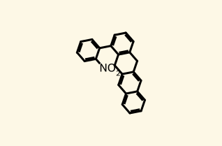 O=[N+]([O-])c1ccccc1-c1cccc2c1Cc1cc3ccccc3cc1C2